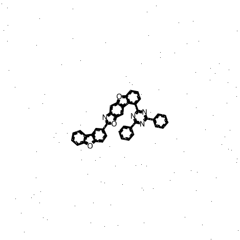 c1ccc(-c2nc(-c3ccccc3)nc(-c3cccc4oc5cc6nc(-c7ccc8oc9ccccc9c8c7)oc6cc5c34)n2)cc1